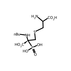 CCCCN[C@@](CSCC(N)C(=O)O)(C(=O)O)P(=O)(O)O